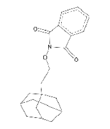 O=C1c2ccccc2C(=O)N1OCCC12CC3CC(CC(C3)C1)C2